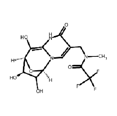 CN(CC1=CN2C(=C(O)[C@H]3O[C@@H]2C(O)[C@H]3O)NC1=O)C(=O)C(F)(F)F